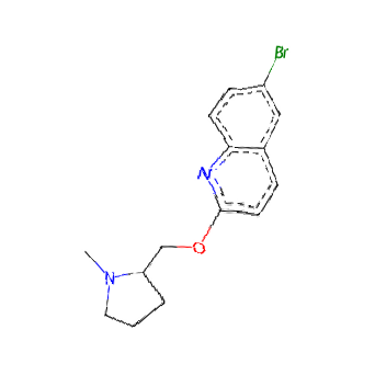 CN1CCCC1COc1ccc2cc(Br)ccc2n1